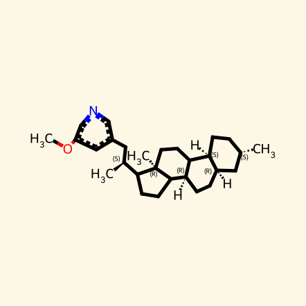 COc1cncc(C[C@H](C)C2CCC3[C@@H]4CC[C@@H]5C[C@@H](C)CC[C@@H]5C4CC[C@@]32C)c1